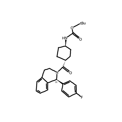 CC(C)(C)OC(=O)N[C@H]1CC[C@H](C(=O)N2CCc3ccccc3[C@@H]2c2ccc(F)cc2)CC1